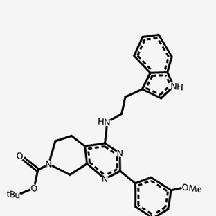 COc1cncc(-c2nc3c(c(NCCc4c[nH]c5ccccc45)n2)CCN(C(=O)OC(C)(C)C)C3)c1